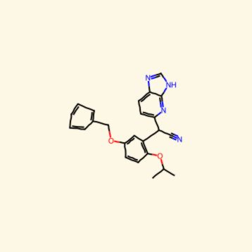 CC(C)Oc1ccc(OCc2ccccc2)cc1C(C#N)c1ccc2nc[nH]c2n1